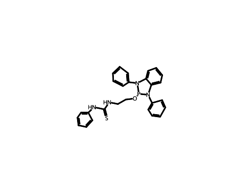 S=C(NCCOP1N(c2ccccc2)c2ccccc2N1c1ccccc1)Nc1ccccc1